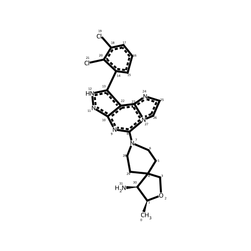 C[C@@H]1OCC2(CCN(c3nc4n[nH]c(-c5cccc(Cl)c5Cl)c4c4nccn34)CC2)[C@@H]1N